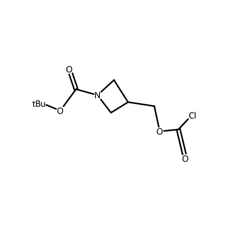 CC(C)(C)OC(=O)N1CC(COC(=O)Cl)C1